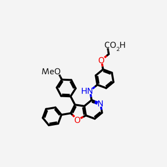 COc1ccc(-c2c(-c3ccccc3)oc3ccnc(Nc4cccc(OCC(=O)O)c4)c23)cc1